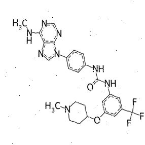 CNc1ncnc2c1ncn2-c1ccc(NC(=O)Nc2cc(OC3CCN(C)CC3)cc(C(F)(F)F)c2)cc1